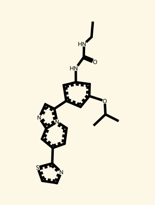 CCNC(=O)Nc1cc(OC(C)C)cc(-c2cnc3cc(-c4nccs4)ccn23)c1